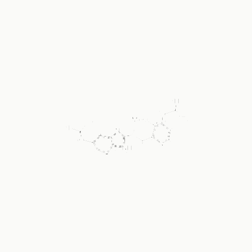 [2H]C([2H])Oc1ccnc(CSc2nc3cc(OC(F)F)ccc3[nH]2)c1OC